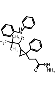 CC(C)(C)C(O[SiH](c1ccccc1)c1ccccc1)C1CC1(CCC(=O)NN)c1ccccc1